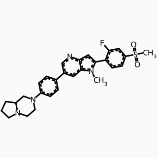 Cn1c(-c2ccc(S(C)(=O)=O)cc2F)cc2ncc(-c3ccc(N4CCN5CCCC5C4)cc3)cc21